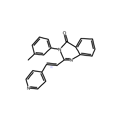 Cc1cccc(-n2c(/C=C/c3ccncc3)nc3ccccc3c2=O)c1